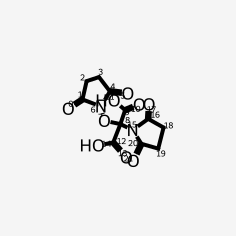 O=C1CCC(=O)N1OC(C(=O)O)(C(=O)O)N1C(=O)CCC1=O